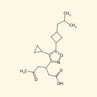 CC(=O)CC(CC(=O)O)c1noc(C2CC(CC(C)C)C2)c1C1CC1